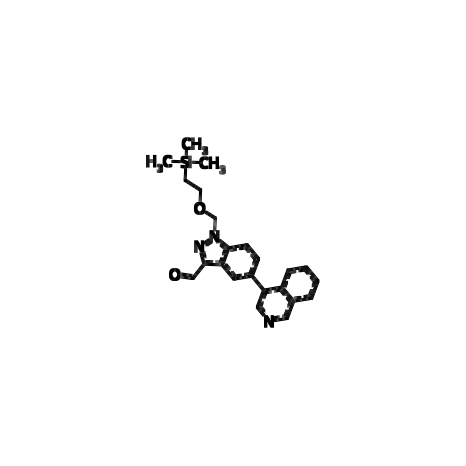 C[Si](C)(C)CCOCn1nc(C=O)c2cc(-c3cncc4ccccc34)ccc21